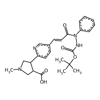 CN1CC(C(=O)O)C(c2ccc(C=CC(=O)N(NC(=O)OC(C)(C)C)c3ccccc3)cn2)C1